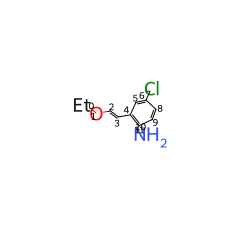 CCO/C=C/c1cc(Cl)ccc1N